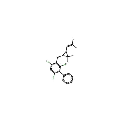 CC(C)=C[C@@H]1[C@H](Cc2c(F)cc(F)c(-c3ccccc3)c2F)C1(C)C